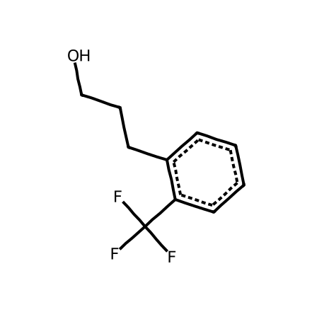 OCCCc1ccccc1C(F)(F)F